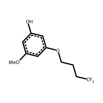 COc1cc(O)cc(OCCCC(F)(F)F)c1